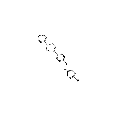 Fc1ccc(OCc2ccc(C3=CCC(c4ccccc4)C=C3)cc2)cc1